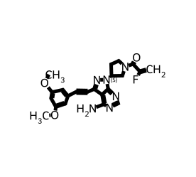 C=C(F)C(=O)N1CC[C@H](n2nc(C#Cc3cc(OC)cc(OC)c3)c3c(N)ncnc32)C1